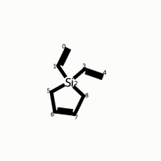 C=C[Si]1(C=C)CC=CC1